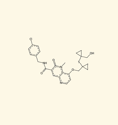 Cn1c(=O)c(C(=O)NCc2ccc(Cl)cc2)cc2nccc(OCC3(SC4(CO)CC4)CC3)c21